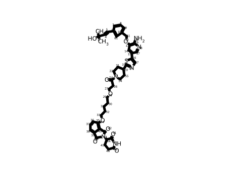 CC(C)(O)C#Cc1cccc(COc2cc(-c3cnc(C4CCN(C(=O)CCOCCCCCOc5cccc6c5C(=O)N(C5CCC(=O)NC5=O)C6=O)CC4)s3)cnc2N)c1